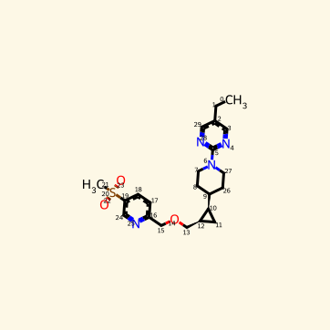 CCc1cnc(N2CCC([C@H]3C[C@H]3COCc3ccc(S(C)(=O)=O)cn3)CC2)nc1